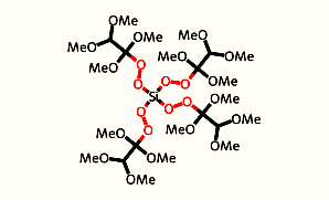 COC(OC)C(OC)(OC)OO[Si](OOC(OC)(OC)C(OC)OC)(OOC(OC)(OC)C(OC)OC)OOC(OC)(OC)C(OC)OC